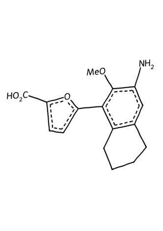 COc1c(N)cc2c(c1-c1ccc(C(=O)O)o1)CCCC2